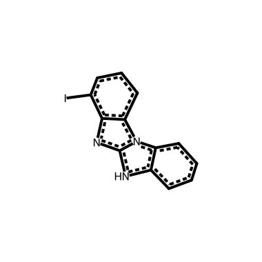 Ic1cccc2c1nc1[nH]c3ccccc3n12